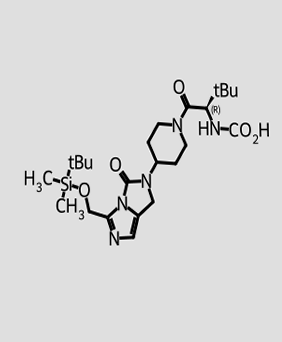 CC(C)(C)[C@@H](NC(=O)O)C(=O)N1CCC(N2Cc3cnc(CO[Si](C)(C)C(C)(C)C)n3C2=O)CC1